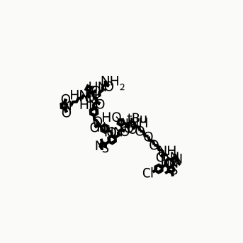 Cc1ncsc1-c1ccc(CNC(=O)[C@@H]2C[C@@H](O)CN2C(=O)[C@@H](NC(=O)COCCOCCOCCNC(=O)C[C@@H]2N=C(c3ccc(Cl)cc3)c3c(sc(C)c3C)-n3c(C)nnc32)C(C)(C)C)c(OC2CCN(C(=O)OCc3ccc(NC(=O)[C@H](CCCNC(N)=O)NC(=O)C4(C(=O)NCCCCCN5C(=O)C=CC5=O)CCC4)cc3)CC2)c1